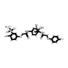 CS(=O)(=O)c1cc(OCC(=O)NC23CCC(NC(=O)COc4ccc(F)cc4)(CC2)[C@@H](O)C3)ccc1F